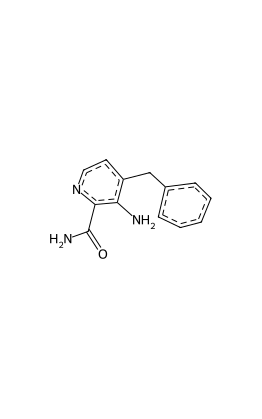 NC(=O)c1nccc(Cc2ccccc2)c1N